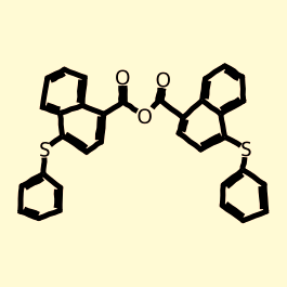 O=C(OC(=O)c1ccc(Sc2ccccc2)c2ccccc12)c1ccc(Sc2ccccc2)c2ccccc12